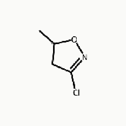 C[C]1CC(Cl)=NO1